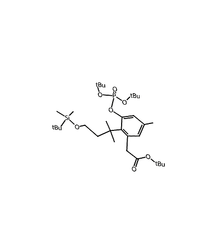 Cc1cc(CC(=O)OC(C)(C)C)c(C(C)(C)CCO[Si](C)(C)C(C)(C)C)c(OP(=O)(OC(C)(C)C)OC(C)(C)C)c1